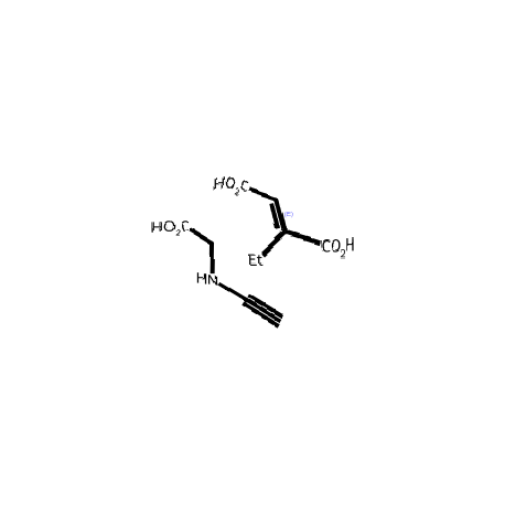 C#CNCC(=O)O.CC/C(=C\C(=O)O)C(=O)O